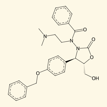 CN(C)CCN(C(=O)c1ccccc1)N1C(=O)O[C@H](CO)[C@H]1c1ccc(OCc2ccccc2)cc1